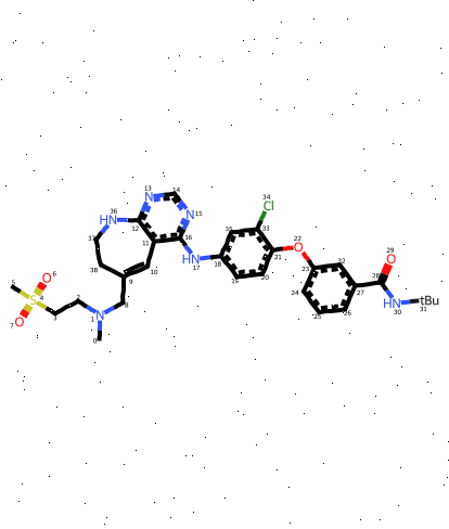 CN(CCS(C)(=O)=O)CC1=Cc2c(ncnc2Nc2ccc(Oc3cccc(C(=O)NC(C)(C)C)c3)c(Cl)c2)NCC1